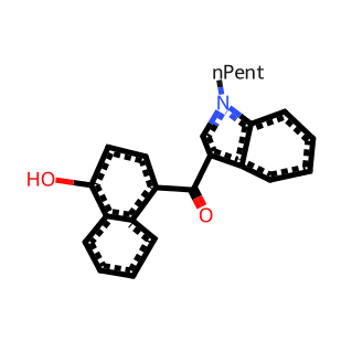 CCCCCn1cc(C(=O)c2ccc(O)c3ccccc23)c2ccccc21